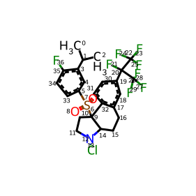 CC(C)c1cc(S(=O)(=O)C23CCN(Cl)C2CCc2cc(C(F)(C(F)(F)F)C(F)(F)F)ccc23)ccc1F